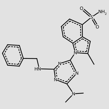 Cc1cc2c(S(N)(=O)=O)cccc2n1-c1nc(NCc2ccccc2)nc(N(C)C)n1